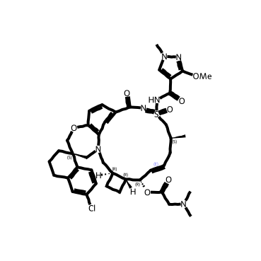 COc1nn(C)cc1C(=O)NS1(=O)=NC(=O)c2ccc3c(c2)N(C[C@@H]2CC[C@H]2[C@@H](OC(=O)CN(C)C)/C=C/C[C@H](C)C1)C[C@@]1(CCCc2cc(Cl)ccc21)CO3